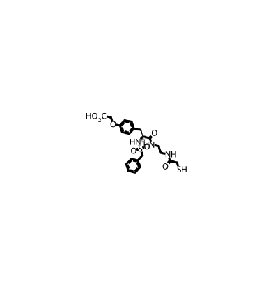 O=C(O)COc1ccc(C[C@H](NS(=O)(=O)Cc2ccccc2)C(=O)NCCNC(=O)CS)cc1